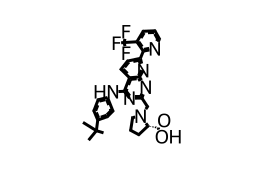 CC(C)(C)c1ccc(Nc2nc(CN3CCC[C@H]3C(=O)O)nc3nc(-c4ncccc4C(F)(F)F)ccc23)cc1